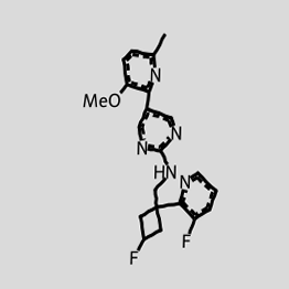 COc1ccc(C)nc1-c1cnc(NCC2(c3ncccc3F)CC(F)C2)nc1